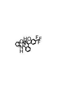 Oc1cc(C(F)(F)F)ccc1-c1nnc(N[C@H]2CCC[C@H]2O)c2ccccc12